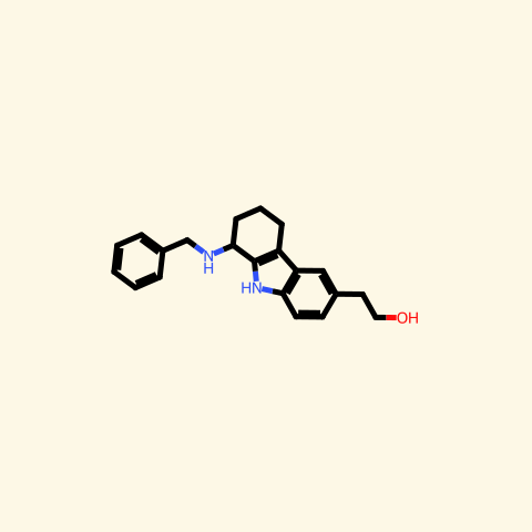 OCCc1ccc2[nH]c3c(c2c1)CCCC3NCc1ccccc1